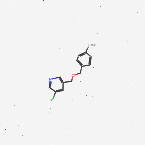 COc1ccc(COCc2cncc(Br)c2)cc1